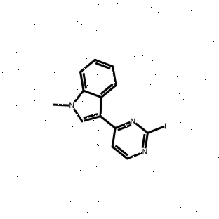 Cn1cc(-c2ccnc(I)n2)c2ccccc21